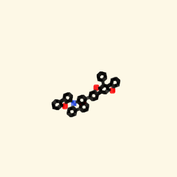 c1ccc(-c2ccccc2N(c2ccc(-c3ccc4c(c3)oc3c(-c5ccccc5)c5c(cc34)oc3ccccc35)cc2)c2cccc3c2oc2ccccc23)cc1